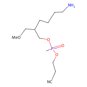 COCC(CCCCN)COP(C)(=O)OCCC#N